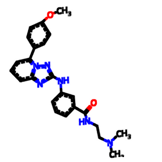 COc1ccc(-c2cccc3nc(Nc4cccc(C(=O)NCCN(C)C)c4)nn23)cc1